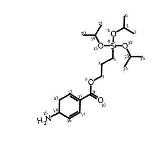 CC(C)O[Si](CCCOC(=O)C1=CCC(N)C=C1)(OC(C)C)OC(C)C